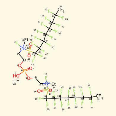 CC[N+](F)(CCOP(=O)(O)OCC[N+](F)(CC)S(=O)(=O)C(F)(F)C(F)(F)C(F)(F)C(F)(F)C(F)(F)C(F)(F)C(F)(F)C(F)(F)F)S(=O)(=O)C(F)(F)C(F)(F)C(F)(F)C(F)(F)C(F)(F)C(F)(F)C(F)(F)C(F)(F)F.[LiH]